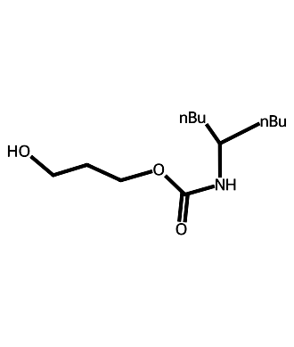 CCCCC(CCCC)NC(=O)OCCCO